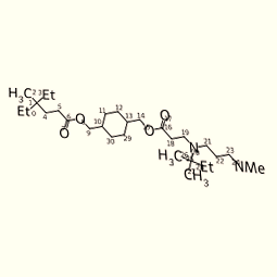 CCC(C)(CC)CCC(=O)OCC1CCC(COC(=O)CCN(CCCNC)C(C)(C)CC)CC1